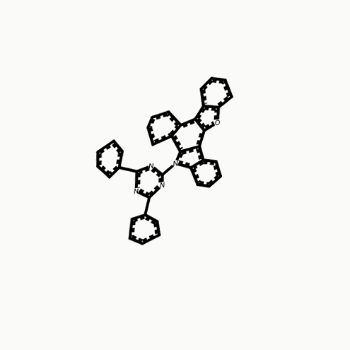 c1ccc(-c2nc(-c3ccccc3)nc(-n3c4ccccc4c4c5oc6ccccc6c5c5ccccc5c43)n2)cc1